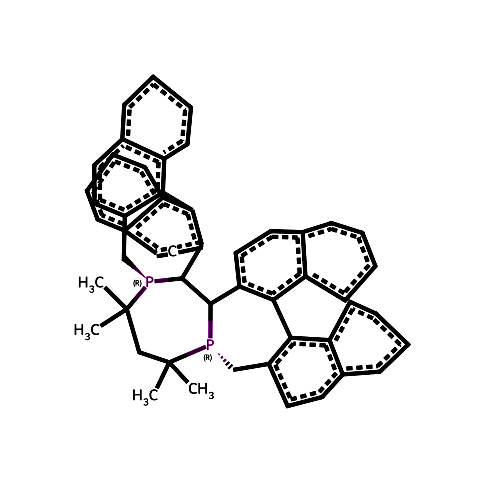 CC1(C)CC(C)(C)[P@@]2Cc3ccc4ccccc4c3-c3c(ccc4ccccc34)C2C2c3ccc4ccccc4c3-c3c(ccc4ccccc34)C[P@@]21